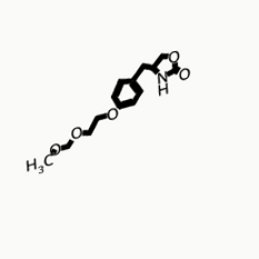 COCOCCOc1ccc(CC2COC(=O)N2)cc1